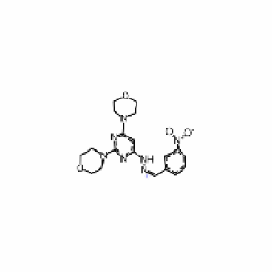 O=[N+]([O-])c1cccc(/C=N\Nc2cc(N3CCOCC3)nc(N3CCOCC3)n2)c1